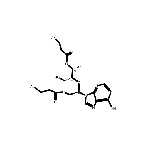 CC(=O)CCC(=O)OC[C@@H](O[C@H](CO)[C@@H](C)OC(=O)CCC(C)=O)n1cnc2c(N)ncnc21